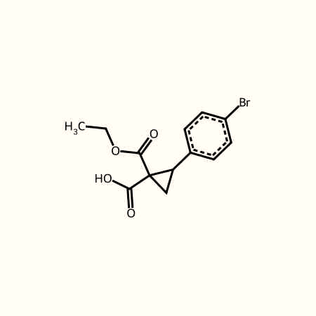 CCOC(=O)C1(C(=O)O)CC1c1ccc(Br)cc1